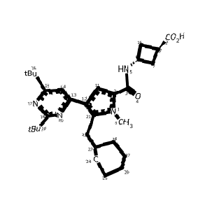 Cn1c(C(=O)N[C@H]2C[C@H](C(=O)O)C2)cc(-c2cc(C(C)(C)C)nc(C(C)(C)C)n2)c1CC1CCCCC1